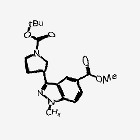 COC(=O)c1ccc2c(c1)c(C1CCN(C(=O)OC(C)(C)C)C1)nn2C